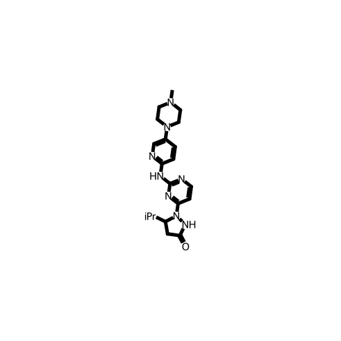 CC(C)C1CC(=O)NN1c1ccnc(Nc2ccc(N3CCN(C)CC3)cn2)n1